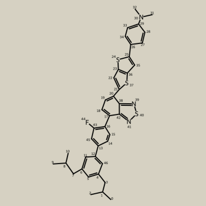 CC(C)Cc1cc(CC(C)C)cc(-c2ccc(-c3ccc(-c4cc5sc(-c6ccc(N(C)C)cc6)cc5s4)c4nsnc34)c(F)c2)c1